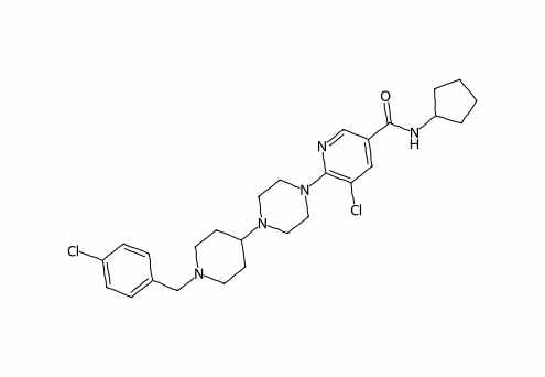 O=C(NC1CCCC1)c1cnc(N2CCN(C3CCN(Cc4ccc(Cl)cc4)CC3)CC2)c(Cl)c1